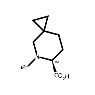 CC(C)N1CC2(CC[C@H]1C(=O)O)CC2